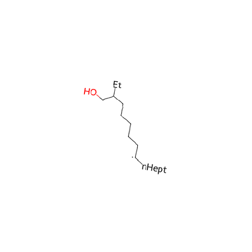 CCCCCCC[CH]CCCCCC(CC)CO